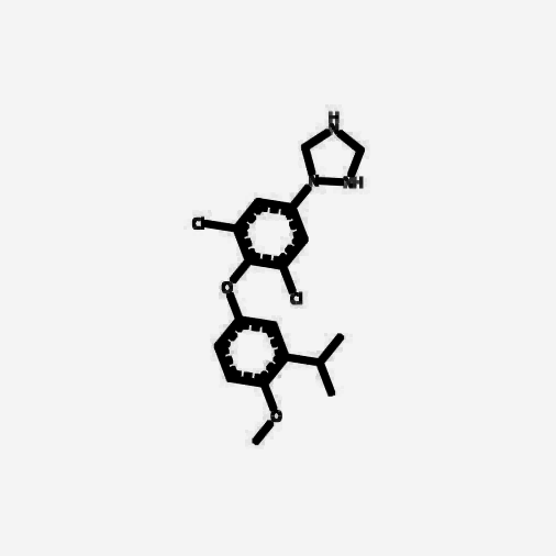 COc1ccc(Oc2c(Cl)cc(N3CNCN3)cc2Cl)cc1C(C)C